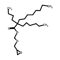 CCCCCCCCC(CCCC)(CCCCCC)C(=O)OCOCC1CO1